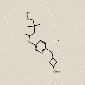 COC1CC(Oc2ccc(CC(C)CC(C)(C)COC(C)C)nn2)C1